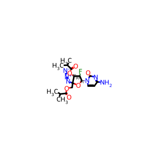 CC(C)C(=O)OCC1(N=[N+]=[N-])O[C@@H](n2ccc(N)nc2=O)[C@H](F)[C@@H]1OC(=O)C(C)C